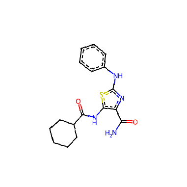 NC(=O)c1nc(Nc2ccccc2)sc1NC(=O)C1CCCCC1